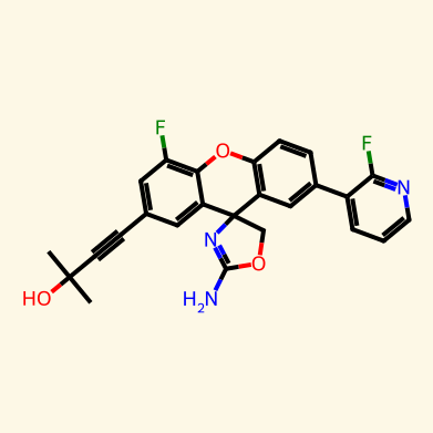 CC(C)(O)C#Cc1cc(F)c2c(c1)C1(COC(N)=N1)c1cc(-c3cccnc3F)ccc1O2